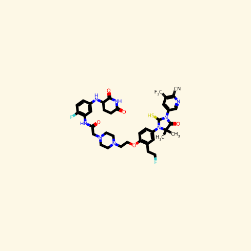 CC1(C)C(=O)N(c2cnc(C#N)c(C(F)(F)F)c2)C(S)N1c1ccc(OCCN2CCN(CC(=O)Nc3cc(NC4CCC(=O)NC4=O)ccc3F)CC2)c(CCF)c1